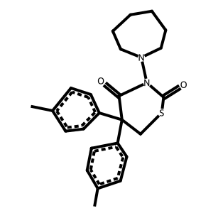 Cc1ccc(C2(c3ccc(C)cc3)CSC(=O)N(N3CCCCCC3)C2=O)cc1